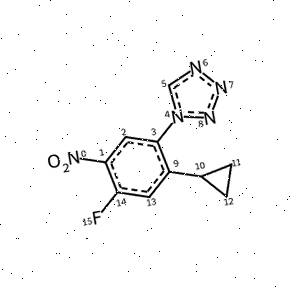 O=[N+]([O-])c1cc(-n2cnnn2)c(C2CC2)cc1F